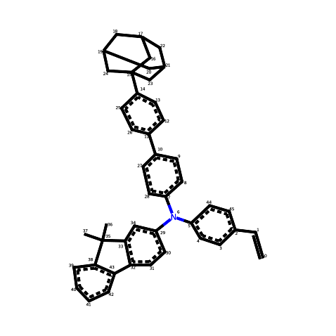 C=Cc1ccc(N(c2ccc(-c3ccc(C45CC6CC(CC(C6)C4)C5)cc3)cc2)c2ccc3c(c2)C(C)(C)c2ccccc2-3)cc1